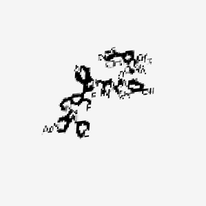 CC(=O)N1CCc2c(c(N3CCCc4cc(-c5cn(Cc6cn(C(C(=O)N7C[C@H](O)C[C@H]7C(=O)N[C@@H](C)c7ccc(-c8scnc8C)cc7)C(C)C)nn6)c6ccncc56)c(C(F)F)cc43)nn2C2CCOCC2)C1